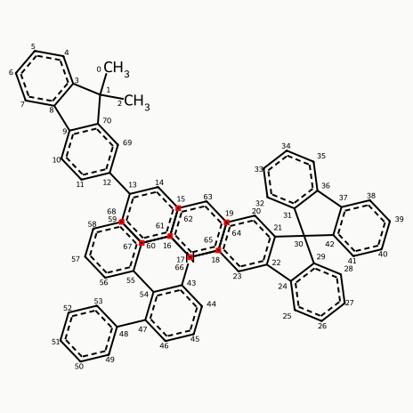 CC1(C)c2ccccc2-c2ccc(-c3ccc(N(c4ccc5c(c4)-c4ccccc4C54c5ccccc5-c5ccccc54)c4cccc(-c5ccccc5)c4-c4ccccc4-c4ccccc4)cc3)cc21